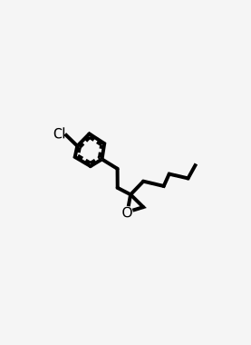 CCCCCC1(CCc2ccc(Cl)cc2)CO1